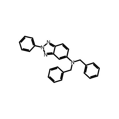 c1ccc(CN(Cc2ccccc2)c2ccc3nn(-c4ccccc4)nc3c2)cc1